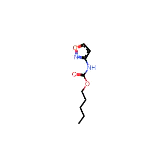 CCCCCOC(=O)Nc1ccon1